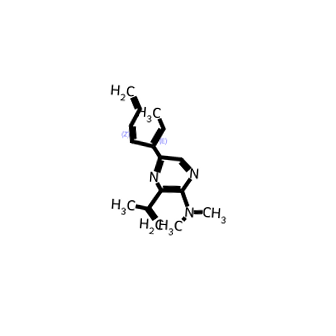 C=C/C=C\C(=C/C)c1cnc(N(C)C)c(C(=C)C)n1